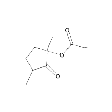 CC(=O)OC1(C)CCC(C)C1=O